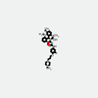 COc1ccc(OC)c(C(c2c(OC)cccc2OC)N(C(=O)O)c2ccnc(Nc3ccc(OCCCN4CCN(C)CC4)c(F)c3)n2)c1